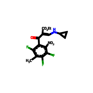 CCOC(=O)C(=CNC1CC1)C(=O)c1c(F)c(C)c(F)c(F)c1[N+](=O)[O-]